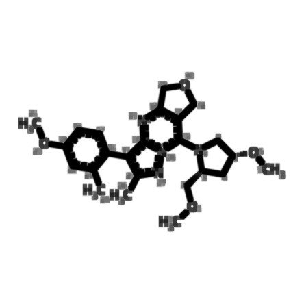 COC[C@@H]1C[C@@H](OC)CN1c1c2c(nc3c(-c4ccc(OC)cc4C)c(C)nn13)COC2